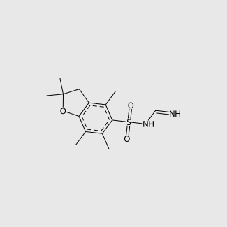 Cc1c(C)c(S(=O)(=O)NC=N)c(C)c2c1OC(C)(C)C2